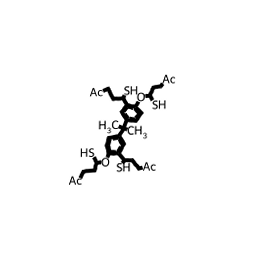 CC(=O)CCC(S)Oc1ccc(C(C)(C)c2ccc(OC(S)CCC(C)=O)c(C(S)CCC(C)=O)c2)cc1C(S)CCC(C)=O